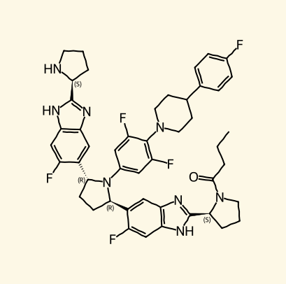 CCCC(=O)N1CCC[C@H]1c1nc2cc([C@H]3CC[C@H](c4cc5nc([C@@H]6CCCN6)[nH]c5cc4F)N3c3cc(F)c(N4CCC(c5ccc(F)cc5)CC4)c(F)c3)c(F)cc2[nH]1